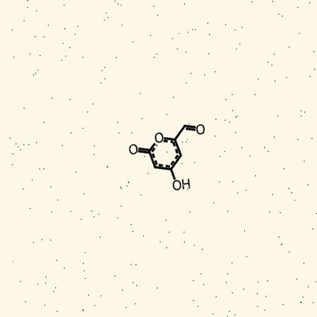 O=Cc1cc(O)cc(=O)o1